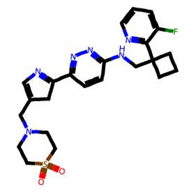 O=S1(=O)CCN(CC2=CN=C(c3ccc(NCC4(c5ncccc5F)CCC4)nn3)C2)CC1